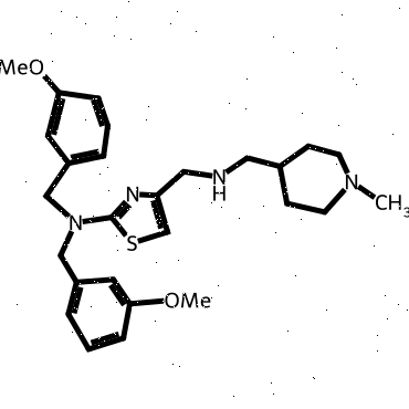 COc1cccc(CN(Cc2cccc(OC)c2)c2nc(CNCC3CCN(C)CC3)cs2)c1